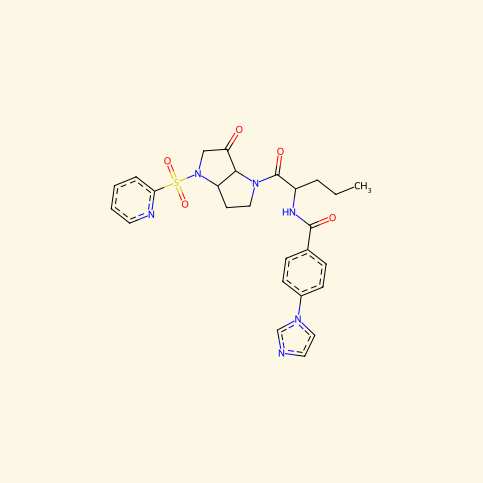 CCCC(NC(=O)c1ccc(-n2ccnc2)cc1)C(=O)N1CCC2C1C(=O)CN2S(=O)(=O)c1ccccn1